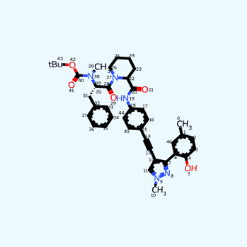 Cc1ccc(O)c(-c2nn(C)cc2C#Cc2ccc(NC(=O)C3CCCCN3C(=O)[C@H](Cc3ccccc3)N(C)C(=O)OC(C)(C)C)cc2)c1